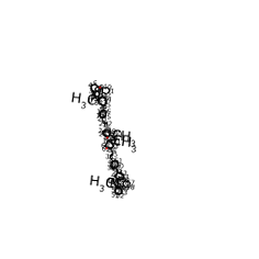 CN1c2ccccc2[Si]2(CCCC2)c2ccc(-c3ccc(/C=C/c4ccc5c(c4)C(C)(C)c4cc(/C=C/c6ccc(-c7ccc8c(c7)N(C)c7ccccc7[Si]87CCCC7)cc6)ccc4-5)cc3)cc21